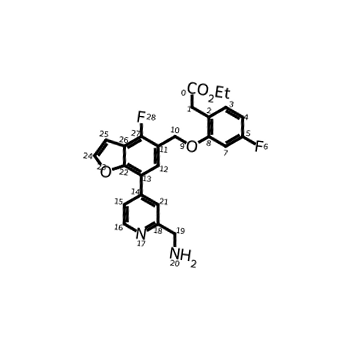 CCOC(=O)Cc1ccc(F)cc1OCc1cc(-c2ccnc(CN)c2)c2occc2c1F